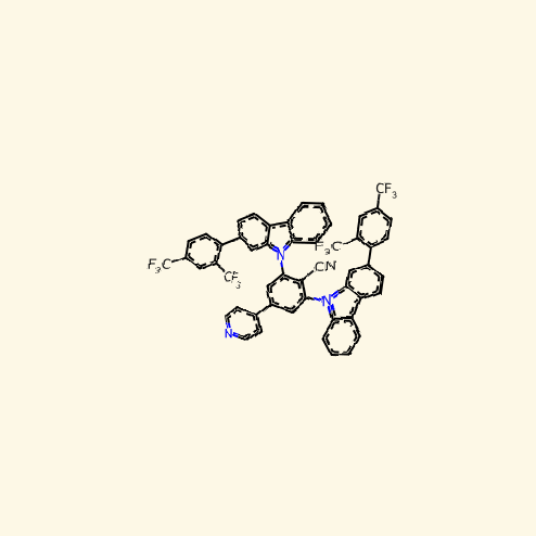 N#Cc1c(-n2c3ccccc3c3ccc(-c4ccc(C(F)(F)F)cc4C(F)(F)F)cc32)cc(-c2ccncc2)cc1-n1c2ccccc2c2ccc(-c3ccc(C(F)(F)F)cc3C(F)(F)F)cc21